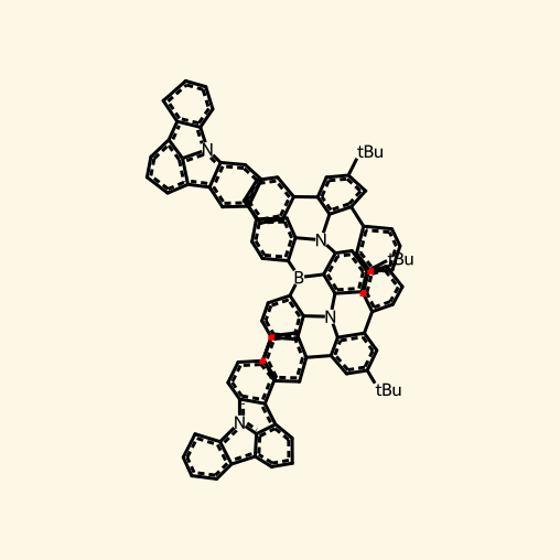 CC(C)(C)c1cc(-c2ccccc2)c(N2c3cc(-c4ccc5c(c4)c4cccc6c7ccccc7n5c64)ccc3B3c4ccc(-c5ccc6c(c5)c5cccc7c8ccccc8n6c75)cc4N(c4c(-c5ccccc5)cc(C(C)(C)C)cc4-c4ccccc4)c4cc(C(C)(C)C)cc2c43)c(-c2ccccc2)c1